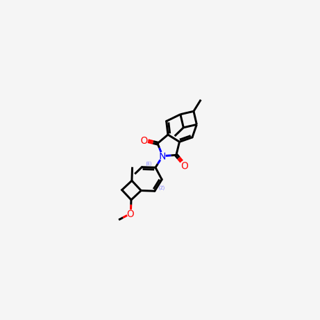 C/C=C(\C=C/C1C(C)CC1OC)N1C(=O)C2=CC3C(C)C(C=C2C1=O)C3C